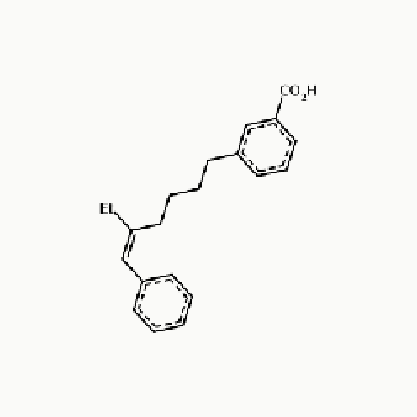 CCC(=Cc1ccccc1)CCCCc1cccc(C(=O)O)c1